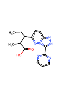 CCC(c1ccc2nnc(-c3ncccn3)n2n1)C(C)C(=O)O